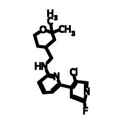 CC1(C)CC(CNc2cccc(-c3cc(F)ncc3Cl)n2)CCO1